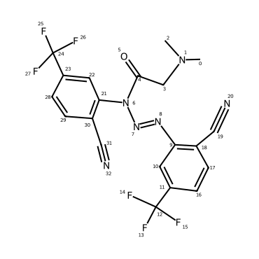 CN(C)CC(=O)N(N=Nc1cc(C(F)(F)F)ccc1C#N)c1cc(C(F)(F)F)ccc1C#N